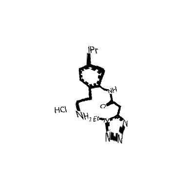 CCn1nnnc1CC(=O)Nc1cc(C(C)C)ccc1CCN.Cl